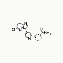 NC(=O)C1CCCN(c2cc(-c3cnc4ccc(Cl)nn34)ccn2)C1